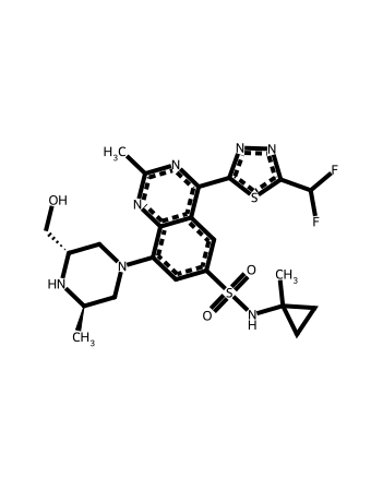 Cc1nc(-c2nnc(C(F)F)s2)c2cc(S(=O)(=O)NC3(C)CC3)cc(N3C[C@@H](CO)N[C@H](C)C3)c2n1